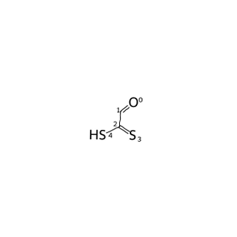 O=CC(=S)S